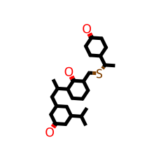 CC(C)C1CC(=O)CC(CC(C)C2CCCC(CSC(C)C3CCC(=O)CC3)C2=O)C1